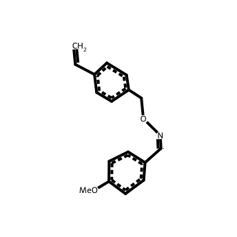 C=Cc1ccc(CO/N=[C]\c2ccc(OC)cc2)cc1